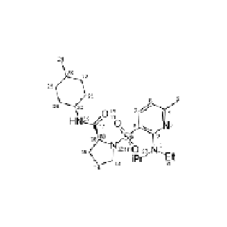 CCN(c1nc(C)ccc1S(=O)(=O)N1CCC[C@H]1C(=O)NC1CCC(C)CC1)C(C)C